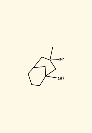 CC(C)C1(C)CC2CCCC(O)(C2)C1